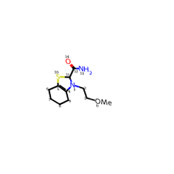 COCCN1C2=C(CCCC2)SC1C(N)=O